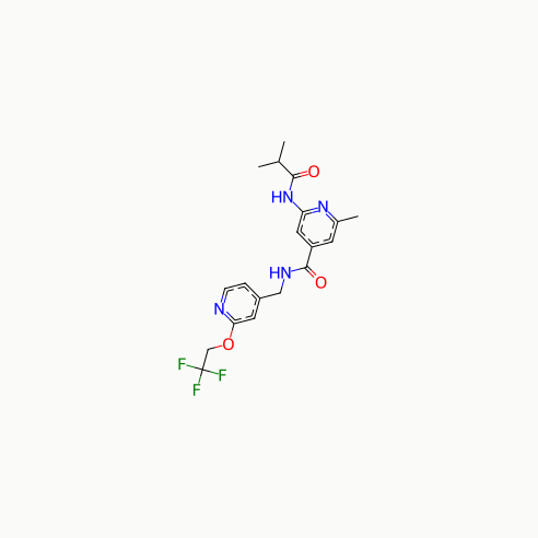 Cc1cc(C(=O)NCc2ccnc(OCC(F)(F)F)c2)cc(NC(=O)C(C)C)n1